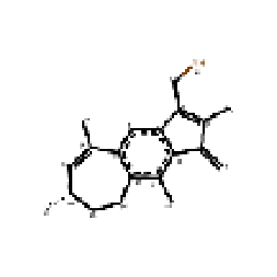 C=C1C(C)=C(CS)c2cc3c(c(C)c21)CC[C@H](C)C=C3C